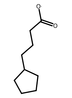 [O]C(=O)CCCC1CCCC1